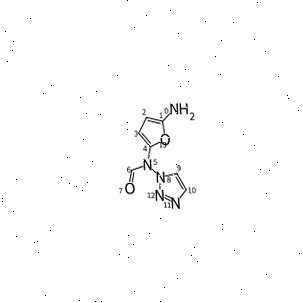 Nc1ccc(N(C=O)n2ccnn2)o1